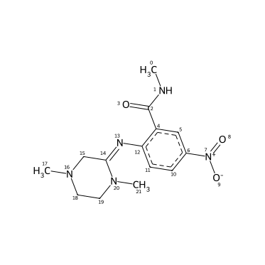 CNC(=O)c1cc([N+](=O)[O-])ccc1/N=C1/CN(C)CCN1C